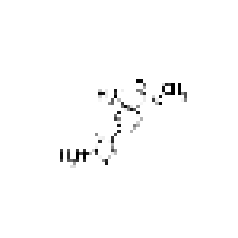 COC(=O)c1ccc(-c2csc(N)n2)cc1C